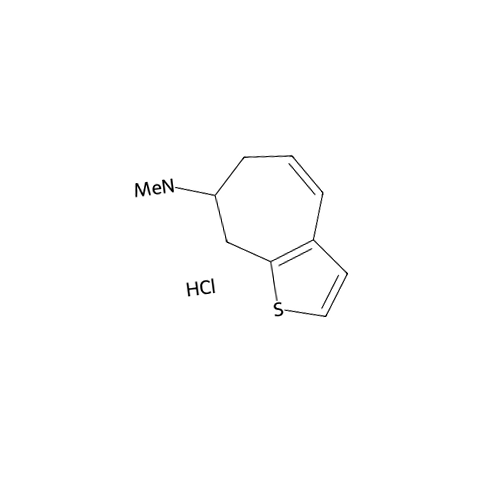 CNC1CC=Cc2ccsc2C1.Cl